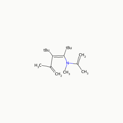 C=C(C)/C(=C(\N(C)C(=C)C)C(C)(C)C)C(C)(C)C